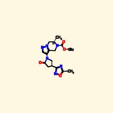 Cc1nc(C2CC(=O)N(c3cnn4c3CN(C(=O)OC(C)(C)C)[C@@H](C)C4)C2)no1